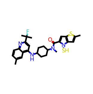 Cc1ccc2nc(C(C)(C)F)cc(NC3CCC(N(C)C(=O)c4cc5sc(C)cc5n4S)CC3)c2c1